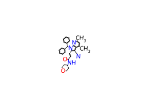 Cc1cc(C)c2c(C#N)c(C=CC(=O)NC3CCOCC3)n(C(c3ccccc3)c3ccccc3)c2n1